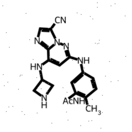 CC(=O)Nc1cc(Nc2cc(NC3CNC3)c3ncc(C#N)n3n2)ccc1C